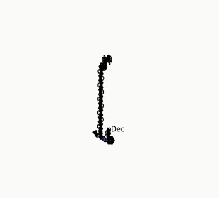 C#CCN(C/C=C/c1ccccc1SCCCCCCCCCCCC)C(=O)CCOCCOCCOCCOCCOCCOCCOCCOCCOc1ccc(-c2nnc(C)nn2)cc1